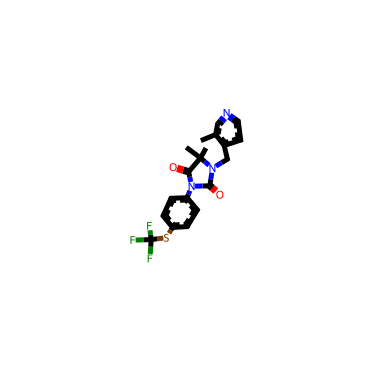 Cc1cnccc1CN1C(=O)N(c2ccc(SC(F)(F)F)cc2)C(=O)C1(C)C